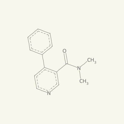 CN(C)C(=O)c1cnccc1-c1ccccc1